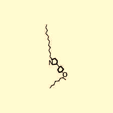 CCCCCCCCCCCCc1ccc(-c2ccc(OC(C)CCCCCC)cc2)cn1